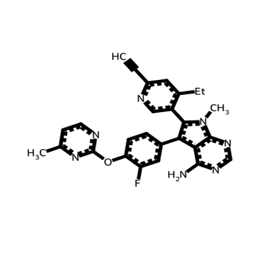 C#Cc1cc(CC)c(-c2c(-c3ccc(Oc4nccc(C)n4)c(F)c3)c3c(N)ncnc3n2C)cn1